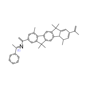 C=C(C)C1=CC(C)C2C(=C1)C(C)(C)c1cc3c(cc12)C(C)(C)c1cc(C(=C)/N=C(\C)c2ccccc2)cc(C)c1-3